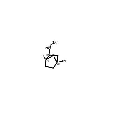 CC(C)(C)N[C@H]1C[C@@H]2CC[C@H]1O2